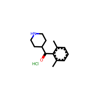 Cc1cccc(C)c1C(=O)C1CCNCC1.Cl